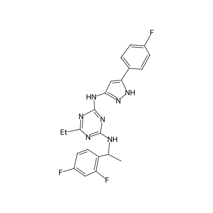 CCc1nc(Nc2cc(-c3ccc(F)cc3)[nH]n2)nc(NC(C)c2ccc(F)cc2F)n1